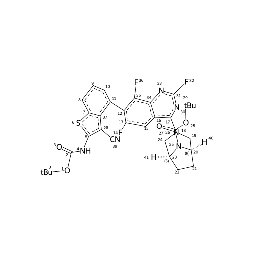 CC(C)(C)OC(=O)Nc1sc2cccc(-c3c(F)cc4c(N5C[C@H]6CC[C@@H](C5)N6C(=O)OC(C)(C)C)nc(F)nc4c3F)c2c1C#N